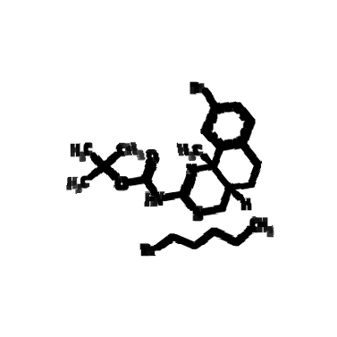 CC(C)(C)OC(=O)NC1=N[C@]2(C)c3cc(Br)ccc3CC[C@@H]2CS1.CCCCCBr